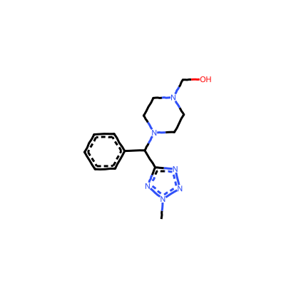 Cn1nnc(C(c2ccccc2)N2CCN(CO)CC2)n1